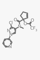 CN(C(=O)C1(OC(=O)C(F)(F)F)C=CCC1)c1cn(-c2cccnc2)nc1Cl